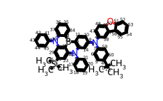 CC(C)(C)c1ccc(N(c2ccc3c(c2)N(c2ccccc2)c2cc([Si](C)(C)C)cc4c2B3c2ccccc2N4c2ccccc2)c2ccc3oc4ccccc4c3c2)cc1